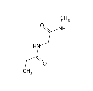 CCC(=O)N[CH]C(=O)NC